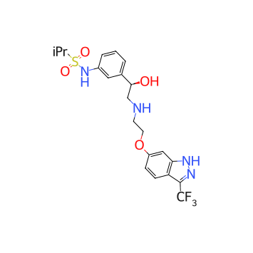 CC(C)S(=O)(=O)Nc1cccc([C@@H](O)CNCCOc2ccc3c(C(F)(F)F)n[nH]c3c2)c1